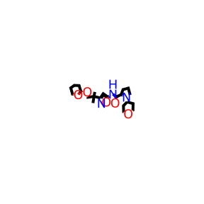 CC(C)(CO[C@H]1CCCCO1)c1cc(NC(=O)C2CCCN2C2CCOCC2)on1